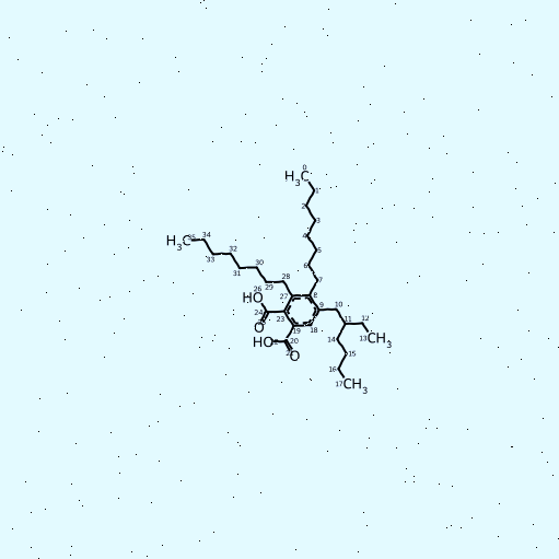 CCCCCCCCc1c(CC(CC)CCCC)cc(C(=O)O)c(C(=O)O)c1CCCCCCCC